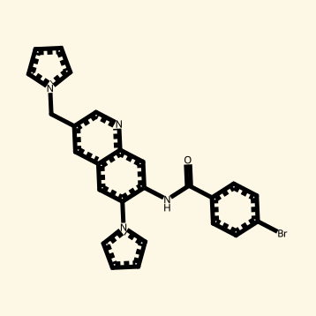 O=C(Nc1cc2ncc(Cn3cccc3)cc2cc1-n1cccc1)c1ccc(Br)cc1